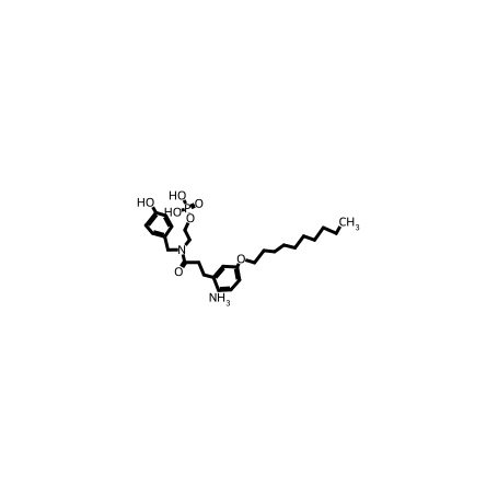 CCCCCCCCCCOc1cccc(CCC(=O)N(CCOP(=O)(O)O)Cc2ccc(O)cc2)c1.N